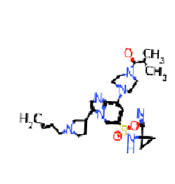 C=CCCN1CCC(c2cnc3c(N4CCN(C(=O)C(C)C)CC4)cc(S(=O)(=O)NC4(C#N)CC4)cn23)C1